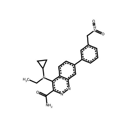 CCN(c1c(C(N)=O)nnc2cc(-c3cccc(C[SH](=O)=O)c3)ccc12)C1CC1